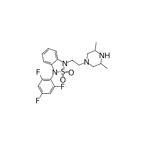 CC1CN(CCN2c3ccccc3N(c3c(F)cc(F)cc3F)S2(=O)=O)CC(C)N1